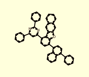 c1ccc(-c2cc(-c3ccc(-c4ccc(-c5ccccc5)c5ccccc45)c4oc5cc6ccccc6cc5c34)nc(-c3ccccc3)n2)cc1